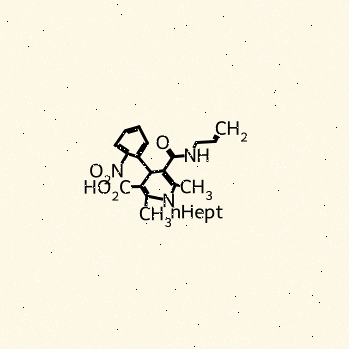 C=CCNC(=O)C1=C(C)N(CCCCCCC)C(C)=C(C(=O)O)C1c1ccccc1[N+](=O)[O-]